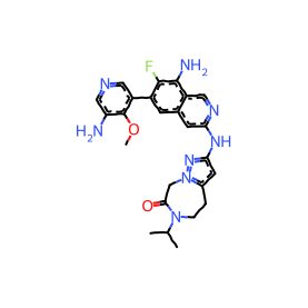 COc1c(N)cncc1-c1cc2cc(Nc3cc4n(n3)CC(=O)N(C(C)C)CC4)ncc2c(N)c1F